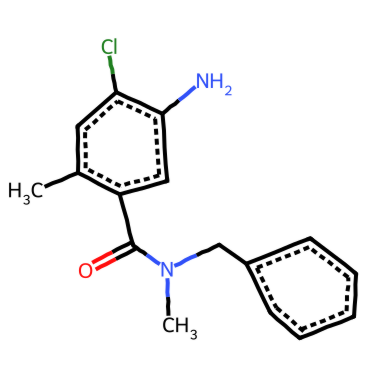 Cc1cc(Cl)c(N)cc1C(=O)N(C)Cc1ccccc1